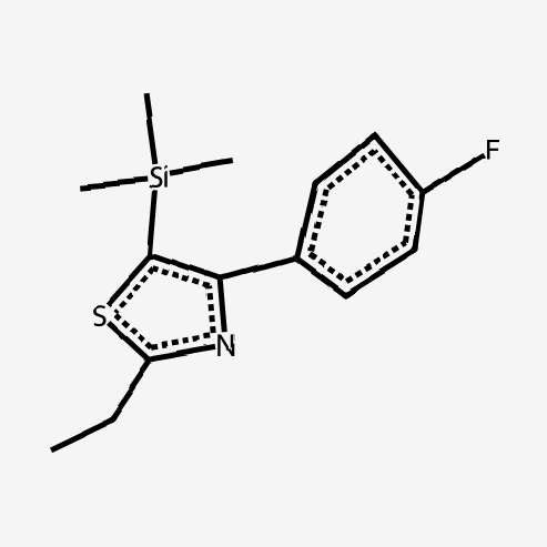 CCc1nc(-c2ccc(F)cc2)c([Si](C)(C)C)s1